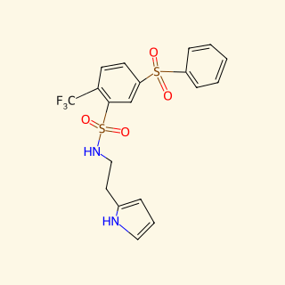 O=S(=O)(NCCc1ccc[nH]1)c1cc(S(=O)(=O)c2ccccc2)ccc1C(F)(F)F